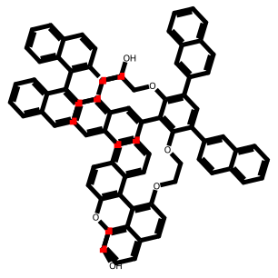 OCCOc1ccc2ccccc2c1-c1c(OCCOc2c(-c3ccc4ccccc4c3)cc(-c3ccc4ccccc4c3)c(OCCOc3ccc4ccccc4c3-c3c(OCCO)ccc4ccccc34)c2-c2ccc3ccccc3c2)ccc2ccccc12